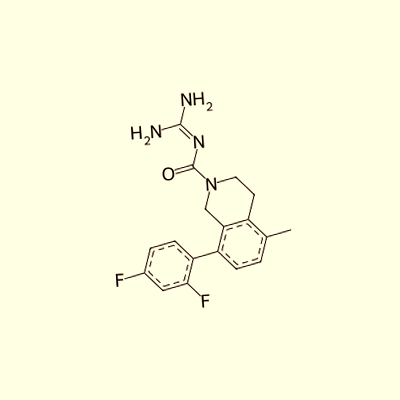 Cc1ccc(-c2ccc(F)cc2F)c2c1CCN(C(=O)N=C(N)N)C2